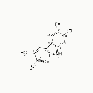 CC(=Cc1c[nH]c2cc(Cl)c(F)cc12)[N+](=O)[O-]